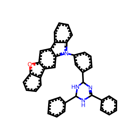 c1ccc(C2=NC(c3cccc(-n4c5ccccc5c5cc6oc7ccccc7c6cc54)c3)NC(c3ccccc3)N2)cc1